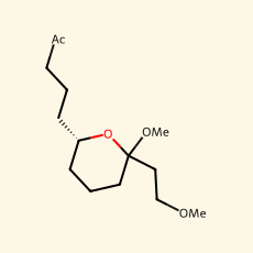 COCCC1(OC)CCC[C@H](CCCC(C)=O)O1